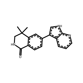 CC1(C)CNC(=O)c2ccc(-c3c[nH]c4ncccc34)cc21